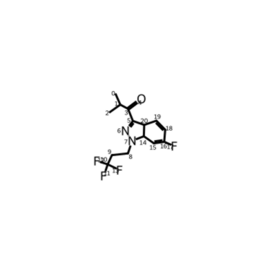 CC(C)C(=O)C1=NN(CCC(F)(F)F)C2C=C(F)C=CC12